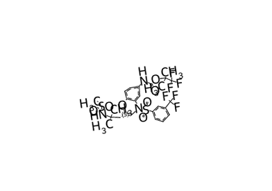 CC(C)(C[C@H]1CN(S(=O)(=O)c2cccc(C(F)(F)F)c2)c2cc(NC(=O)OC(C)(C)C(F)(F)F)ccc2O1)NS(C)(=O)=O